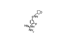 N=C(N)Nc1ccc(SNCC2CCOC2)cc1F